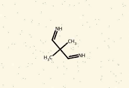 CC(C)(C=N)C=N